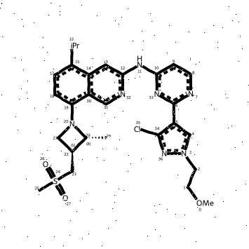 COCCn1cc(-c2nccc(Nc3cc4c(C(C)C)ccc(N5C[C@H](CS(C)(=O)=O)[C@H]5C)c4cn3)n2)c(Cl)n1